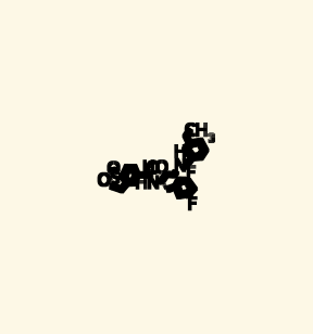 CCc1cccc(CNC[C@@H](O)[C@H](Cc2cc(F)cc(F)c2)NC(=O)c2ccc3c(c2)CCS3(=O)=O)c1